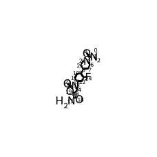 CN(C)C(=O)N1CC=C(c2ccc(N3C[C@H](C(N)=O)OC3=O)cc2F)CC1